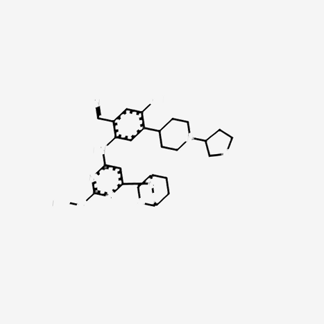 COc1nc(Nc2cc(C3CCN(C4CCOC4)CC3)c(C)cc2C=N)cc(N2CC3CCC2CO3)n1